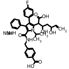 C=CC(O)CC(O)C(C(=O)O)c1c(-c2ccc(F)cc2)c(-c2ccccc2)c(C(=O)NCc2ccc(C(=O)O)cc2)n1C(C)C.[NaH].[NaH]